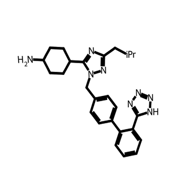 CC(C)Cc1nc(C2CCC(N)CC2)n(Cc2ccc(-c3ccccc3-c3nnn[nH]3)cc2)n1